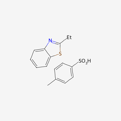 CCc1nc2ccccc2s1.Cc1ccc(S(=O)(=O)O)cc1